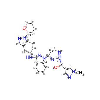 Cn1cc(C(=O)Nc2nccc(-n3nc(Nc4ccc5c(cnn5C5CCCCO5)c4)c4ccccc43)n2)cn1